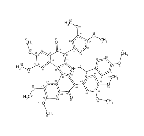 COc1ccc(CCn2c3c(c4c2=C(c2ccc(OC)c(OC)c2)C(=O)c2cc(OC)c(OC)cc2-4)-c2cc(OC)c(OC)cc2C(=O)C=3c2ccc(OC)c(OC)c2)cc1